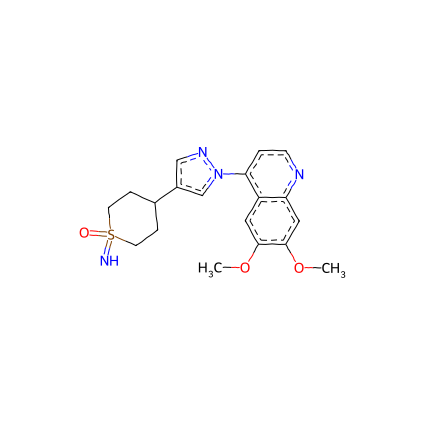 COc1cc2nccc(-n3cc(C4CCS(=N)(=O)CC4)cn3)c2cc1OC